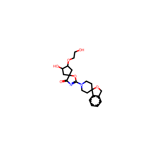 O=C1N=C(N2CCC3(CC2)OCc2ccccc23)OC12CC(O)C(OCCO)C2